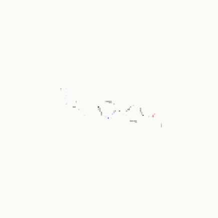 CC(=O)c1ccc(-c2ccc(N3CC4CN(C)C4C3)cn2)cc1